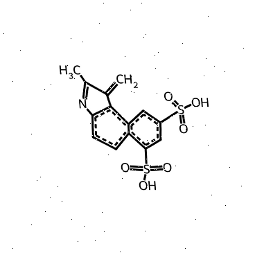 C=C1C(C)=Nc2ccc3c(S(=O)(=O)O)cc(S(=O)(=O)O)cc3c21